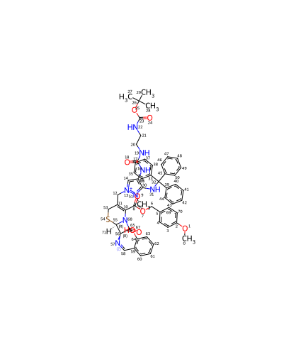 COc1ccc(COC(=O)C2=C(C[n+]3cc(NC(=O)NCCNC(=O)OC(C)(C)C)c(NC(c4ccccc4)(c4ccccc4)c4ccccc4)n3C)CS[C@@H]3[C@H](/N=C\c4ccccc4O)C(=O)N23)cc1